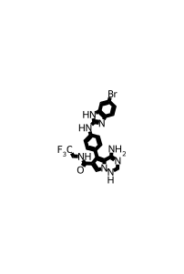 NC1=NCNn2cc(C(=O)NCC(F)(F)F)c(-c3ccc(Nc4nc5ccc(Br)cc5[nH]4)cc3)c21